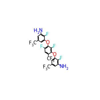 Nc1cc(C(F)(F)F)cc(Oc2c(F)cc(C(F)(F)F)c(Oc3cc(C(F)(F)F)cc(N)c3F)c2F)c1F